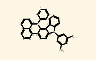 Cc1cc(C)cc(-n2c3ccccc3c3c4c(ccc32)-c2cccc3cccc(c23)N4c2cccnc2)c1